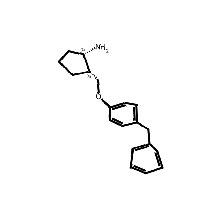 N[C@H]1CCC[C@H]1COc1ccc(Cc2ccccc2)cc1